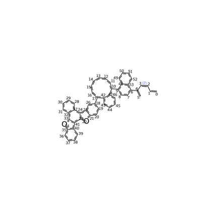 C=C/C=C\C(=C)c1ccc(-c2ccccccc(-c3ccc4oc5c(c4c3)c3ccccc3c3oc4ccccc4c35)c3ccccc23)c2ccccc12